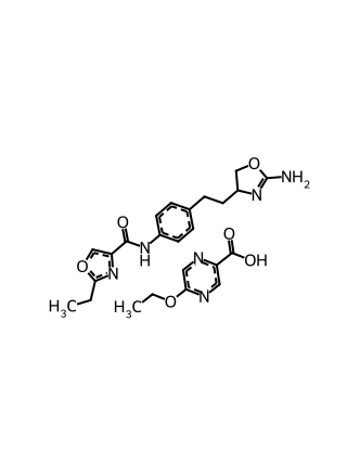 CCOc1cnc(C(=O)O)cn1.CCc1nc(C(=O)Nc2ccc(CCC3COC(N)=N3)cc2)co1